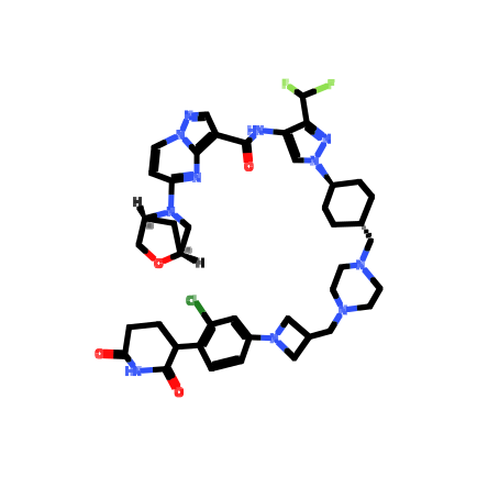 O=C1CCC(c2ccc(N3CC(CN4CCN(C[C@H]5CC[C@H](n6cc(NC(=O)c7cnn8ccc(N9C[C@H]%10C[C@@H]9CO%10)nc78)c(C(F)F)n6)CC5)CC4)C3)cc2Cl)C(=O)N1